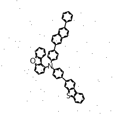 c1ccc(-c2ccc3cc(-c4ccc(N(c5ccc(-c6ccc7c(c6)sc6ccccc67)cc5)c5cccc6oc7ccccc7c56)cc4)ccc3c2)cc1